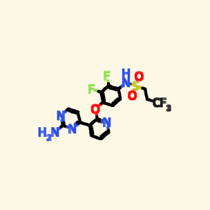 Nc1nccc(-c2cccnc2Oc2ccc(NS(=O)(=O)CCC(F)(F)F)c(F)c2F)n1